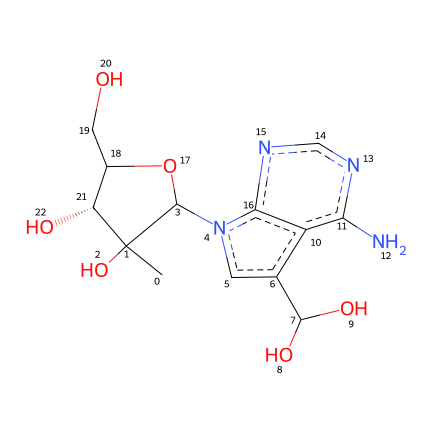 CC1(O)C(n2cc(C(O)O)c3c(N)ncnc32)OC(CO)[C@H]1O